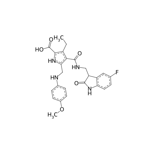 CCc1c(C(=O)O)[nH]c(CNc2ccc(OC)cc2)c1C(=O)NCC1C(=O)Nc2ccc(F)cc21